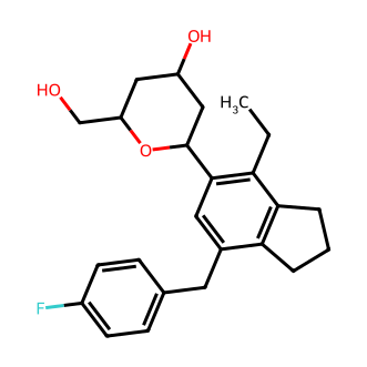 CCc1c(C2CC(O)CC(CO)O2)cc(Cc2ccc(F)cc2)c2c1CCC2